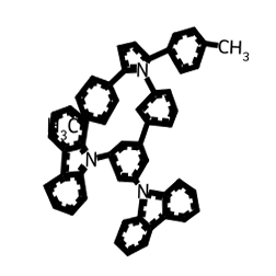 Cc1ccc(-c2ccc(-c3ccc(C)cc3)n2-c2cccc(-c3cc(-n4c5ccccc5c5ccccc54)cc(-n4c5ccccc5c5ccccc54)c3)c2)cc1